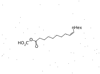 CCCCCC/C=C\CCCCCCCC(=O)OC(=O)O